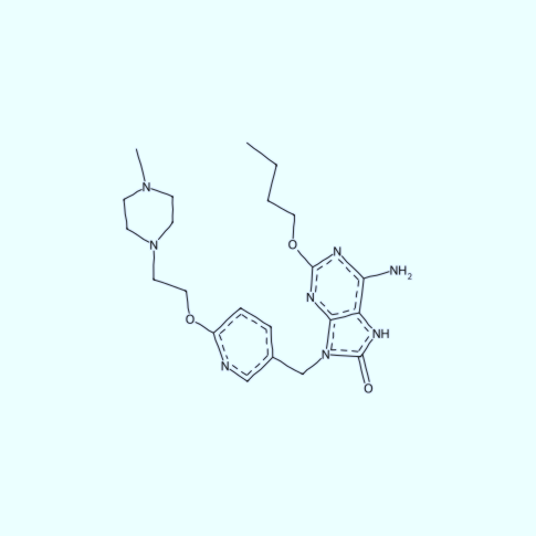 CCCCOc1nc(N)c2[nH]c(=O)n(Cc3ccc(OCCN4CCN(C)CC4)nc3)c2n1